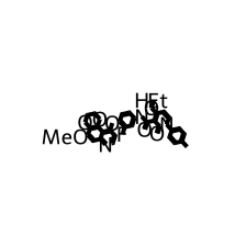 CCOc1ccn(-c2ccc(C)cc2)c(=O)c1C(=O)Nc1ccc(Oc2ccnc3cc(OC)c4c(c23)OCCO4)c(F)c1